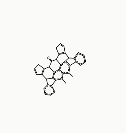 Cc1c2c3c4c5c6c7c(c(C)c15)-c1ccccc1C7C1=C(CC=C1)C6C(=O)C4C1=C(C=CC1)C3c1ccccc1-2